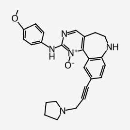 COc1ccc(Nc2ncc3c([n+]2[O-])-c2cc(C#CCN4CCCC4)ccc2NCC3)cc1